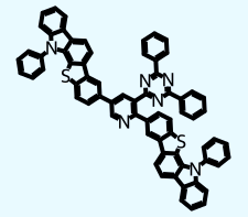 c1ccc(-c2nc(-c3ccccc3)nc(-c3cc(-c4ccc5sc6c(ccc7c8ccccc8n(-c8ccccc8)c76)c5c4)cnc3-c3ccc4sc5c(ccc6c7ccccc7n(-c7ccccc7)c65)c4c3)n2)cc1